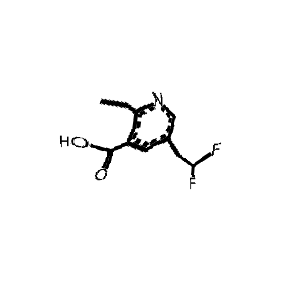 Cc1ncc(C(F)F)cc1C(=O)O